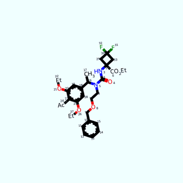 CCOC(=O)C1(NC(=O)N(CCOCc2ccccc2)C(C)c2cc(OCC)c(C(C)=O)c(OCC)c2)CC(F)(F)C1